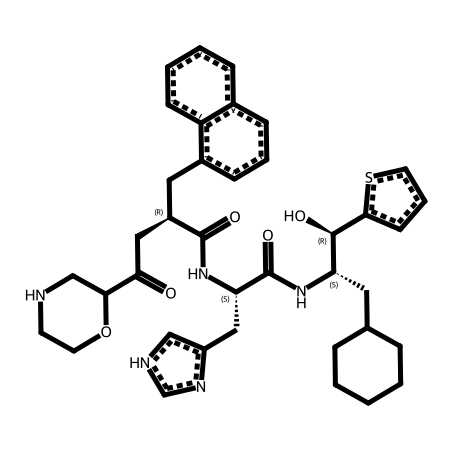 O=C(C[C@@H](Cc1cccc2ccccc12)C(=O)N[C@@H](Cc1c[nH]cn1)C(=O)N[C@@H](CC1CCCCC1)[C@@H](O)c1cccs1)C1CNCCO1